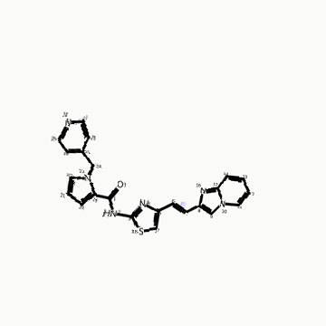 O=C(Nc1nc(/C=C/c2cn3ccccc3n2)cs1)c1cccn1Cc1ccncc1